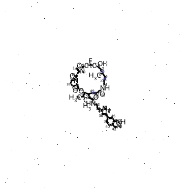 CC1=C\C(O)CC(F)Cc2nc(co2)C(=O)N2CCCC2C(=O)OC(C(C)C)C(CC(=O)NCCn2cc(-c3ccc4cn[nH]c4c3)nn2)/C=C/C(=O)NC\C=C\1